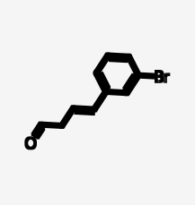 O=CCC=Cc1cccc(Br)c1